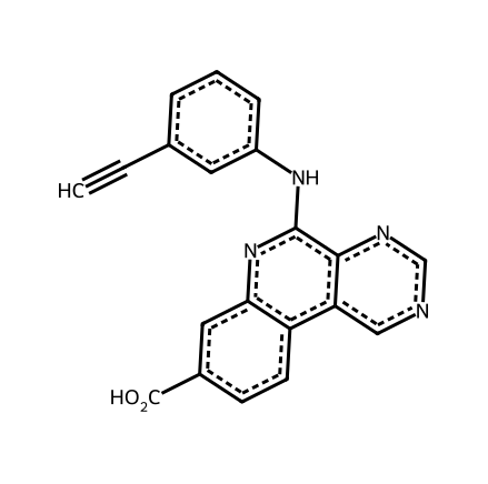 C#Cc1cccc(Nc2nc3cc(C(=O)O)ccc3c3cncnc23)c1